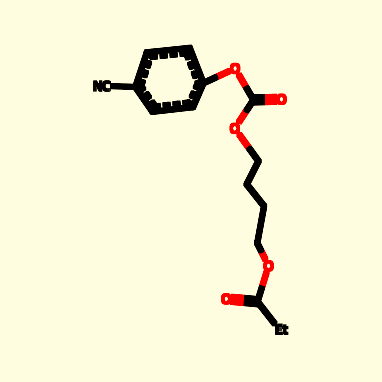 CCC(=O)OCCCCOC(=O)Oc1ccc(C#N)cc1